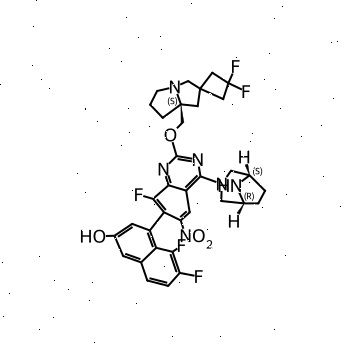 O=[N+]([O-])c1cc2c(N3C[C@H]4CC[C@@H](C3)N4)nc(OC[C@@]34CCCN3CC3(CC(F)(F)C3)C4)nc2c(F)c1-c1cc(O)cc2ccc(F)c(F)c12